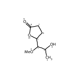 COC(C(C)O)C1CCC(=O)O1